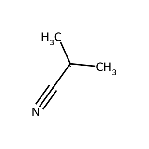 C[C](C)C#N